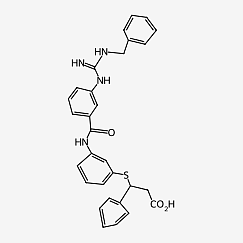 N=C(NCc1ccccc1)Nc1cccc(C(=O)Nc2cccc(SC(CC(=O)O)c3ccccc3)c2)c1